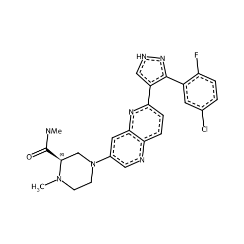 CNC(=O)[C@H]1CN(c2cnc3ccc(-c4c[nH]nc4-c4cc(Cl)ccc4F)nc3c2)CCN1C